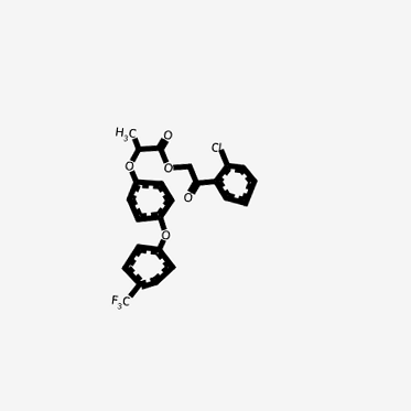 CC(Oc1ccc(Oc2ccc(C(F)(F)F)cc2)cc1)C(=O)OCC(=O)c1ccccc1Cl